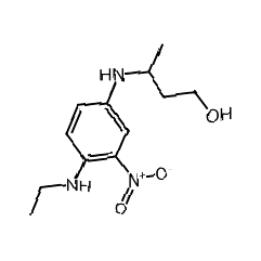 CCNc1ccc(NC(C)CCO)cc1[N+](=O)[O-]